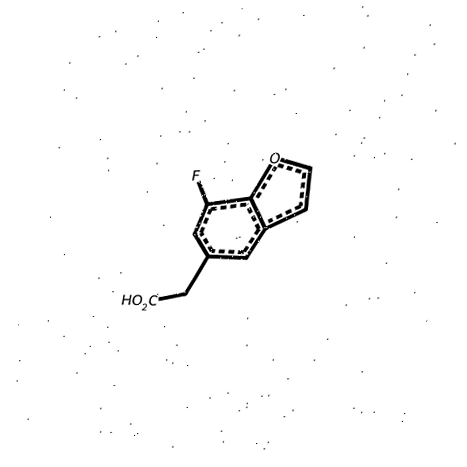 O=C(O)Cc1cc(F)c2occc2c1